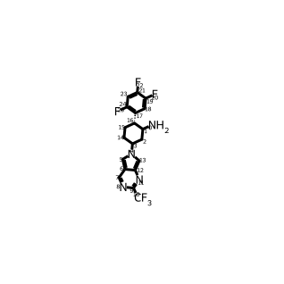 NC1CC(n2cc3cnc(C(F)(F)F)nc3c2)CC[C@@H]1c1cc(F)c(F)cc1F